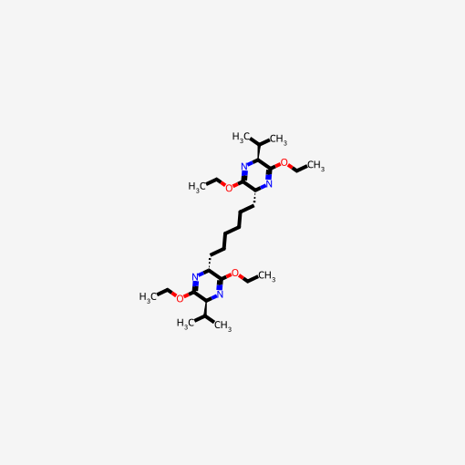 CCOC1=N[C@H](CCCCCC[C@H]2N=C(OCC)[C@H](C(C)C)N=C2OCC)C(OCC)=N[C@H]1C(C)C